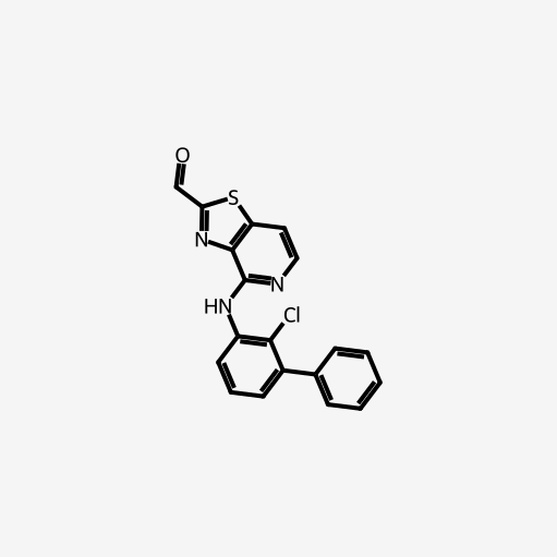 O=Cc1nc2c(Nc3cccc(-c4ccccc4)c3Cl)nccc2s1